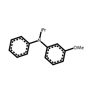 COc1cccc(N(c2ccccc2)C(C)C)c1